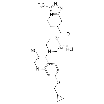 C[C@@H]1CN(c2c(C#N)cnc3cc(OCC4CC4)ccc23)CC[C@@H]1C(=O)N1CCn2c(nnc2C(F)(F)F)C1.Cl